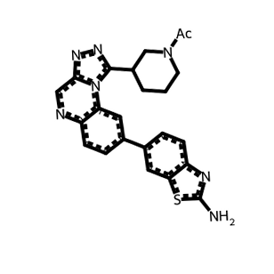 CC(=O)N1CCCC(c2nnc3cnc4ccc(-c5ccc6nc(N)sc6c5)cc4n23)C1